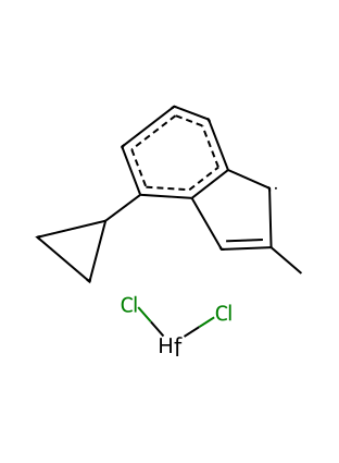 CC1=Cc2c(cccc2C2CC2)[CH]1.[Cl][Hf][Cl]